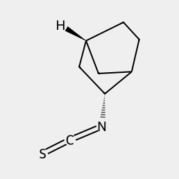 S=C=N[C@@H]1C[C@@H]2CCC1C2